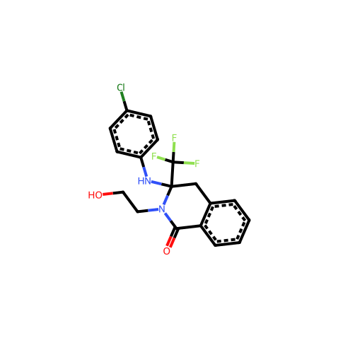 O=C1c2ccccc2CC(Nc2ccc(Cl)cc2)(C(F)(F)F)N1CCO